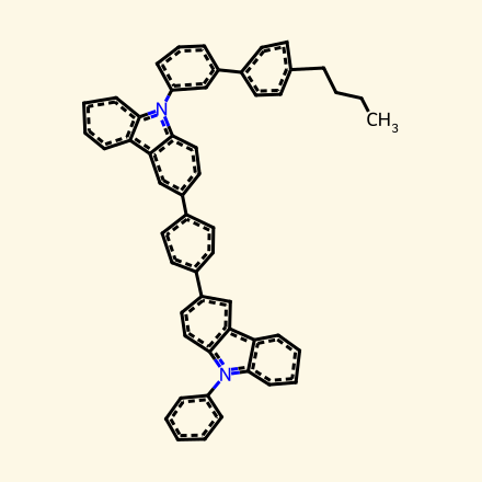 CCCCc1ccc(-c2cccc(-n3c4ccccc4c4cc(-c5ccc(-c6ccc7c(c6)c6ccccc6n7-c6ccccc6)cc5)ccc43)c2)cc1